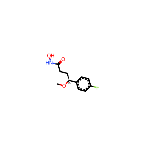 CO[C@@H](CCC(=O)NO)c1ccc(F)cc1